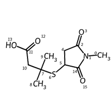 CN1C(=O)CC(SC(C)(C)CC(=O)O)C1=O